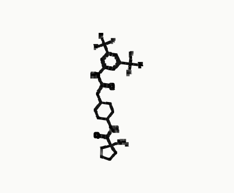 NC1(C(=O)NC2CCC(CC(=O)Nc3cc(C(F)(F)F)cc(C(F)(F)F)c3)CC2)CCCC1